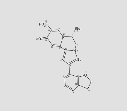 CC(C)(C)[C@@H]1Cn2nc(-c3cccc4c3OCC4)cc2-c2cc(=O)c(C(=O)O)cn21